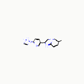 Cc1ccc2nc(-c3ccc(-n4ccnn4)nc3)cn2c1